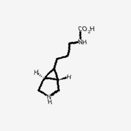 O=C(O)NCCCC1[C@@H]2CNC[C@@H]12